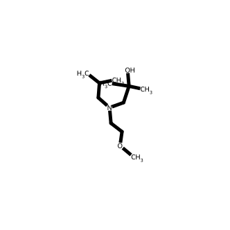 COCCN(CC(C)C)CC(C)(C)O